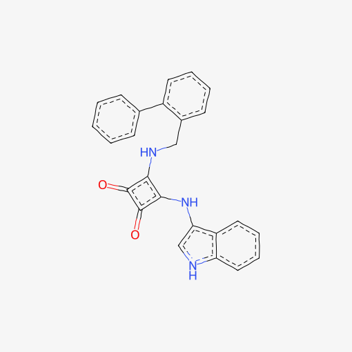 O=c1c(NCc2ccccc2-c2ccccc2)c(Nc2c[nH]c3ccccc23)c1=O